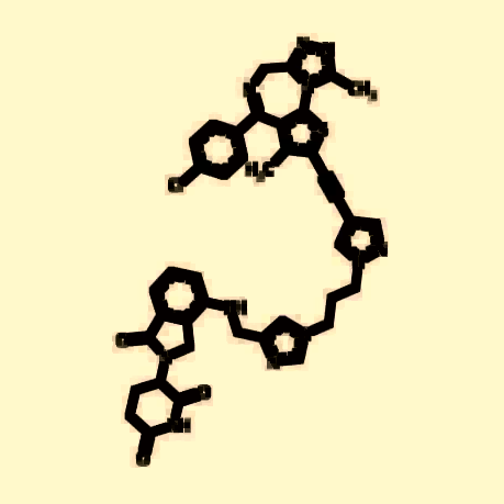 Cc1c(C#Cc2cnn(CCCn3cnc(CNc4cccc5c4CN(C4CCC(=O)NC4=O)C5=O)c3)c2)sc2c1C(c1ccc(Cl)cc1)=NCc1nnc(C)n1-2